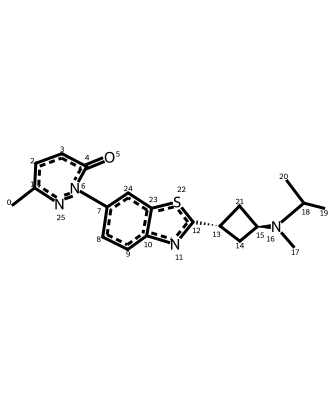 Cc1ccc(=O)n(-c2ccc3nc([C@H]4C[C@H](N(C)C(C)C)C4)sc3c2)n1